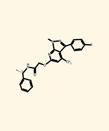 C[C@H](NC(=O)COc1cc(C(F)(F)F)c2c(-c3ccc(F)cc3)nn(C)c2n1)c1ccccc1